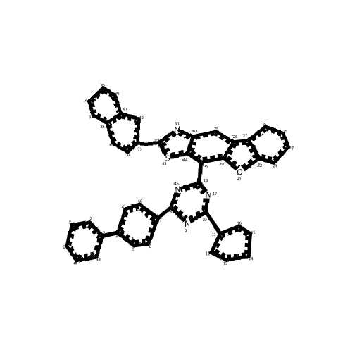 c1ccc(-c2ccc(-c3nc(-c4ccccc4)nc(-c4c5oc6ccccc6c5cc5nc(-c6ccc7ccccc7c6)sc45)n3)cc2)cc1